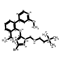 COc1cc(-c2cccc(C(C)C)c2Oc2nc(Br)nn2COCC[Si](C)(C)C)ccn1